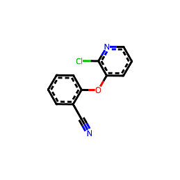 N#Cc1ccccc1Oc1cccnc1Cl